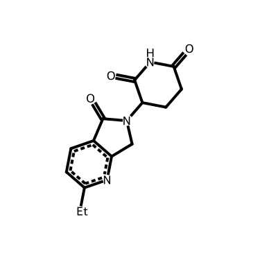 CCc1ccc2c(n1)CN(C1CCC(=O)NC1=O)C2=O